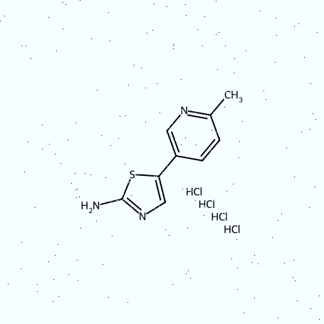 Cc1ccc(-c2cnc(N)s2)cn1.Cl.Cl.Cl.Cl